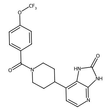 O=C(c1ccc(OC(F)(F)F)cc1)N1CCC(c2ccnc3[nH]c(=O)[nH]c23)CC1